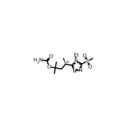 CCn1c([C@H](C)CC(C)(C)OC(N)=O)nnc1S(C)(=O)=O